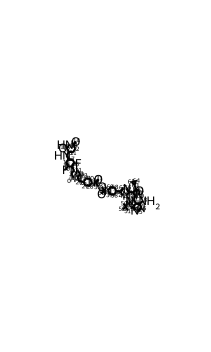 C[C@@H]1CN(c2c(F)cc(NC3CCC(=O)NC3=O)cc2F)C[C@H](C)N1CC1CCN(C(=O)COC(=O)N2CCC(c3cnc(-c4c(-c5nn(C(C)(C)C)c6ncnc(N)c56)noc4C4CC4)nc3)CC2)CC1